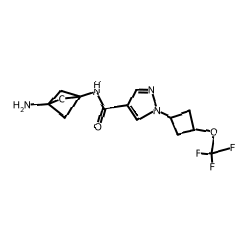 NC12CC(NC(=O)c3cnn(C4CC(OC(F)(F)F)C4)c3)(C1)C2